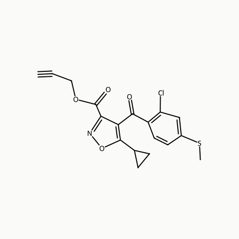 C#CCOC(=O)c1noc(C2CC2)c1C(=O)c1ccc(SC)cc1Cl